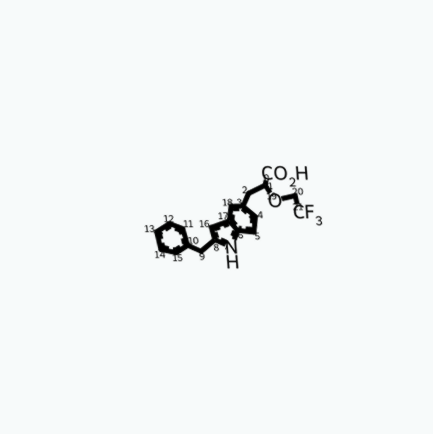 O=C(O)C(Cc1ccc2[nH]c(Cc3ccccc3)cc2c1)OCC(F)(F)F